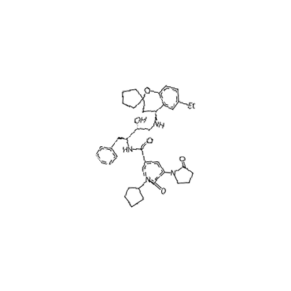 CCc1ccc2c(c1)[C@@H](NC[C@@H](O)[C@H](Cc1ccccc1)NC(=O)c1cc(N3CCCC3=O)c(=O)n(C3CCCC3)c1)CC1(CCCC1)O2